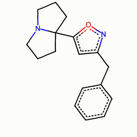 c1ccc(Cc2cc(C34CCCN3CCC4)on2)cc1